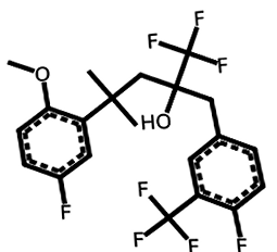 COc1ccc(F)cc1C(C)(C)CC(O)(Cc1ccc(F)c(C(F)(F)F)c1)C(F)(F)F